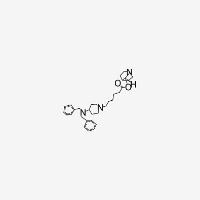 O=C(CCCCCN1CCC(N(Cc2ccccc2)Cc2ccccc2)CC1)O[C@H]1CN2CCC1CC2